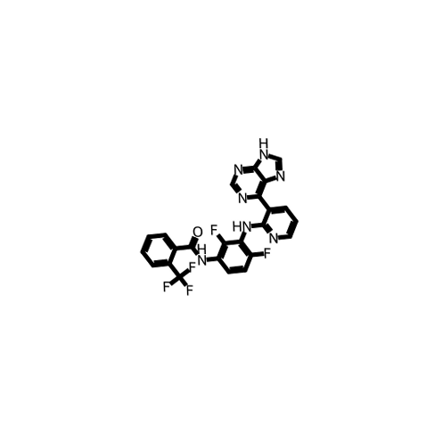 O=C(Nc1ccc(F)c(Nc2ncccc2-c2ncnc3[nH]cnc23)c1F)c1ccccc1C(F)(F)F